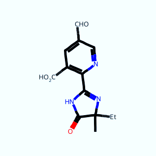 CCC1(C)N=C(c2ncc(C=O)cc2C(=O)O)NC1=O